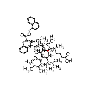 CC[C@H](C)[C@@H]([C@@H](CC(=O)N1CCC[C@H]1[C@H](OC)[C@@H](C)C(=O)N[C@@H](Cc1ccccc1)C(=O)OCc1cccc2ccccc12)OC)N(C)[C@H](C(=O)NC(=O)[C@H](C(C)C)N(C)CCCC(=O)O)C(C)C